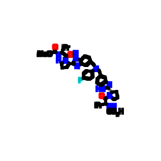 COC(=O)N[C@H](C(=O)N1CCC[C@H]1c1nc2cc(CN(Cc3ccc4[nH]c([C@@H]5CCCN5C(=O)[C@@H](NC(=O)O)C(C)C)nc4c3)c3ccc(F)cc3)ccc2[nH]1)C(C)C